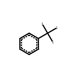 IC(I)(I)c1[c]cccc1